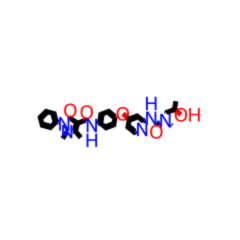 Cc1c(C(=O)Nc2ccc(Oc3ccnc(NC(=O)N(C)CC(C)O)c3)cc2)c(=O)n(-c2ccccc2)n1C